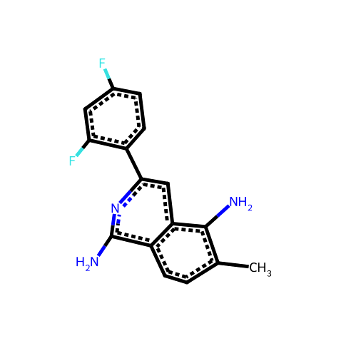 Cc1ccc2c(N)nc(-c3ccc(F)cc3F)cc2c1N